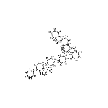 CC1(C)c2cc(-c3cccnc3)ccc2-c2ccc(-c3cccc(-c4nc5c(ccc6c7ccccc7sc65)c5oc6ccccc6c45)c3)cc21